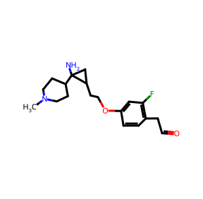 CN1CCC(C2(N)CC2CCOc2ccc(CC=O)c(F)c2)CC1